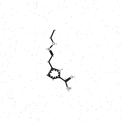 CCON=CCc1ccc(C(=O)O)s1